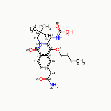 CCCCOc1c(CNC(=O)O)n(CC(C)(C)C)c(=O)c2ccc(CC(N)=O)cc12